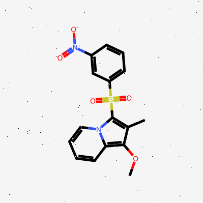 COc1c(C)c(S(=O)(=O)c2cccc([N+](=O)[O-])c2)n2ccccc12